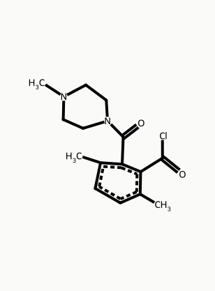 Cc1ccc(C)c(C(=O)N2CCN(C)CC2)c1C(=O)Cl